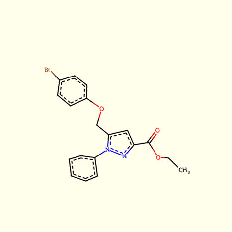 CCOC(=O)c1cc(COc2ccc(Br)cc2)n(-c2ccccc2)n1